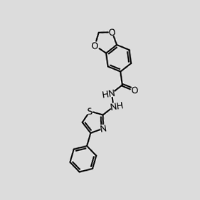 O=C(NNc1nc(-c2ccccc2)cs1)c1ccc2c(c1)OCO2